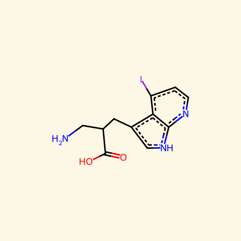 NCC(Cc1c[nH]c2nccc(I)c12)C(=O)O